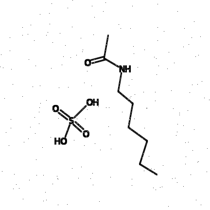 CCCCCCNC(C)=O.O=S(=O)(O)O